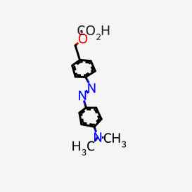 CN(C)c1ccc(N=Nc2ccc(COC(=O)O)cc2)cc1